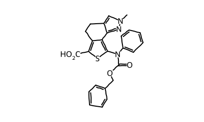 Cn1cc2c(n1)-c1c(N(C(=O)OCc3ccccc3)c3ccccc3)sc(C(=O)O)c1CC2